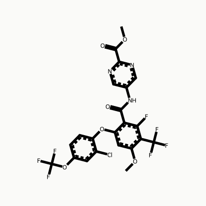 COC(=O)c1ncc(NC(=O)c2c(Oc3ccc(OC(F)(F)F)cc3Cl)cc(OC)c(C(F)(F)F)c2F)cn1